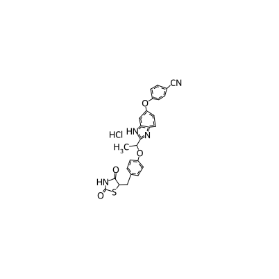 CC(Oc1ccc(CC2SC(=O)NC2=O)cc1)c1nc2ccc(Oc3ccc(C#N)cc3)cc2[nH]1.Cl